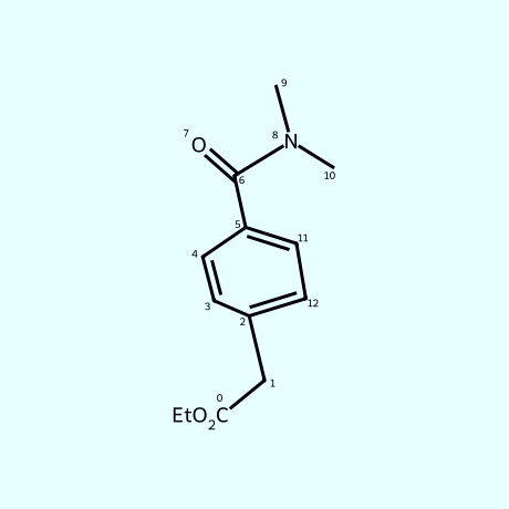 CCOC(=O)Cc1ccc(C(=O)N(C)C)cc1